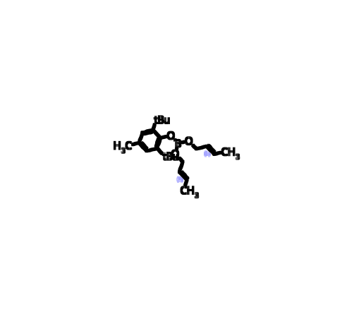 C/C=C/COB(OC/C=C/C)Oc1c(C(C)(C)C)cc(C)cc1C(C)(C)C